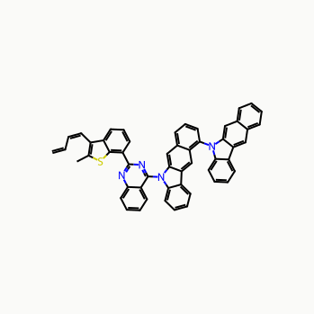 C=C/C=C\c1c(C)sc2c(-c3nc(-n4c5ccccc5c5cc6c(-n7c8ccccc8c8cc9ccccc9cc87)cccc6cc54)c4ccccc4n3)cccc12